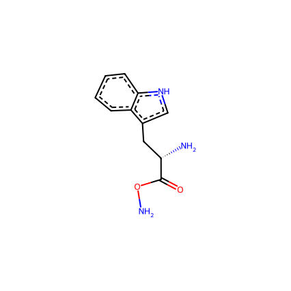 NOC(=O)[C@@H](N)Cc1c[nH]c2ccccc12